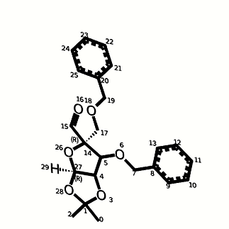 CC1(C)OC2C(OCc3ccccc3)[C@@](C=O)(COCc3ccccc3)O[C@@H]2O1